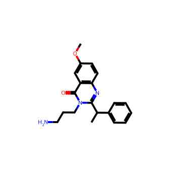 COc1ccc2nc(C(C)c3ccccc3)n(CCCN)c(=O)c2c1